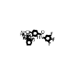 [N-]=[N+]=NC1(CO)CC2CCC1[C@@H]2S(=O)(=O)c1cc(C(=O)Nc2cc(F)c(F)c(F)c2)ccc1Cl